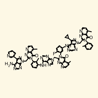 Cc1ccccc1-n1c(Cn2nc(C3CC3)c3c(Nc4ccc(F)c(-n5c(Cn6cnc7c(Nc8cccc(-n9c(Cn%10nc(-c%11cccnc%11)c%11c(N)ncnc%11%10)nc%10nccc(C)c%10c9=O)c8C)ncnc76)nc6nccc(C)c6c5=O)c4)ncnc32)nc2nccc(C)c2c1=O